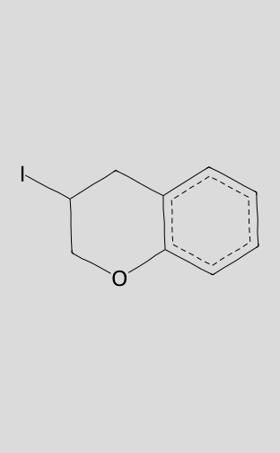 IC1COc2ccccc2C1